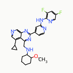 COC1CCCCC1NCc1nc(-c2ccnc(Nc3ncc(F)cc3F)c2)nc2cncc(C3CC3)c12